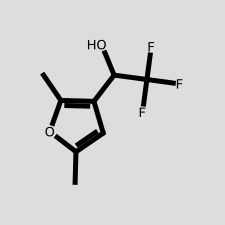 Cc1cc(C(O)C(F)(F)F)c(C)o1